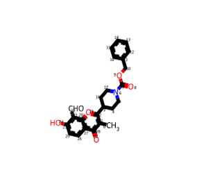 Cc1c(C2CCN(C(=O)OCc3ccccc3)CC2)oc2c(C=O)c(O)ccc2c1=O